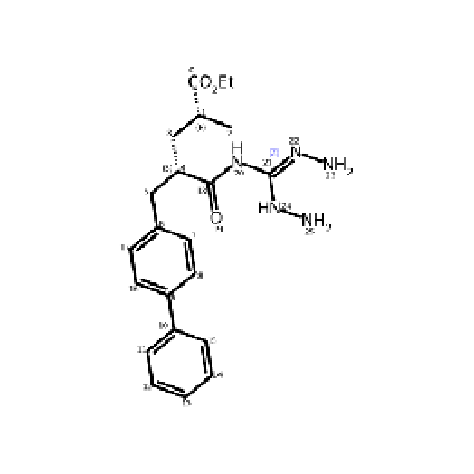 CCOC(=O)[C@H](C)C[C@@H](Cc1ccc(-c2ccccc2)cc1)C(=O)N/C(=N/N)NN